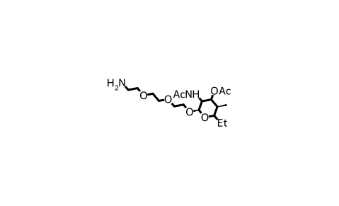 CCC1O[C@@H](OCCOCCOCCN)C(NC(C)=O)C(OC(C)=O)[C@H]1C